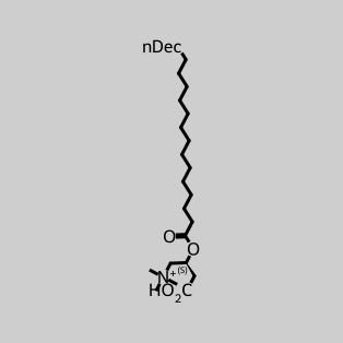 CCCCCCCCCCCCCCCCCCCCCCCC(=O)O[C@@H](CC(=O)O)C[N+](C)(C)C